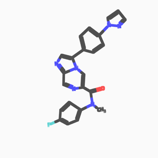 CN(C(=O)c1cn2c(-c3ccc(-n4cccn4)cc3)cnc2cn1)c1ccc(F)cc1